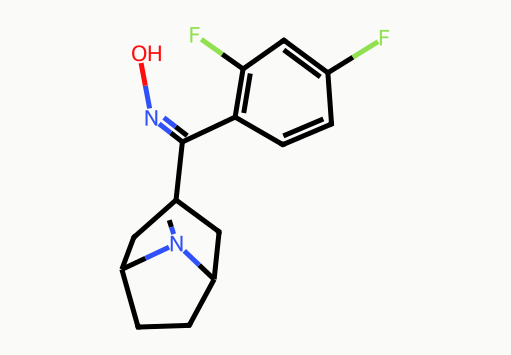 CN1C2CCC1CC(C(=NO)c1ccc(F)cc1F)C2